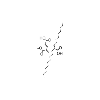 C=C(C=CC(=O)O)C(=O)OC.CCCCCCCCC=C(CCCCCCCCCC)C(=O)O